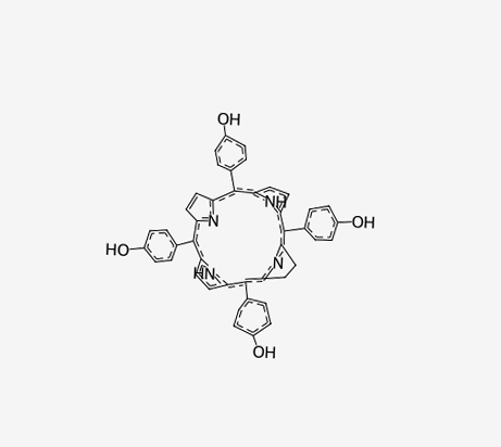 Oc1ccc(-c2c3nc(c(-c4ccc(O)cc4)c4ccc([nH]4)c(-c4ccc(O)cc4)c4nc(c(-c5ccc(O)cc5)c5ccc2[nH]5)CC4)C=C3)cc1